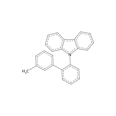 Cc1cccc(-c2ccccc2-n2c3ccccc3c3ccccc32)c1